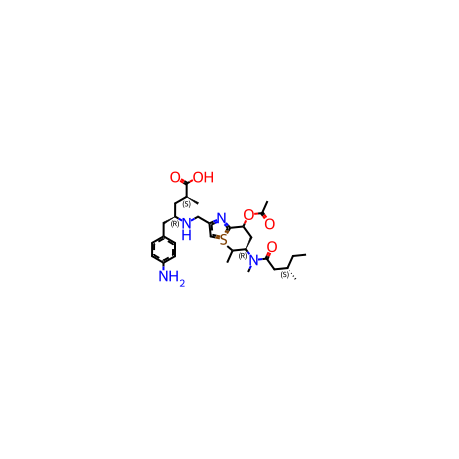 CC[C@H](C)CC(=O)N(C)[C@H](CC(OC(C)=O)c1nc(CN[C@@H](Cc2ccc(N)cc2)C[C@H](C)C(=O)O)cs1)C(C)C